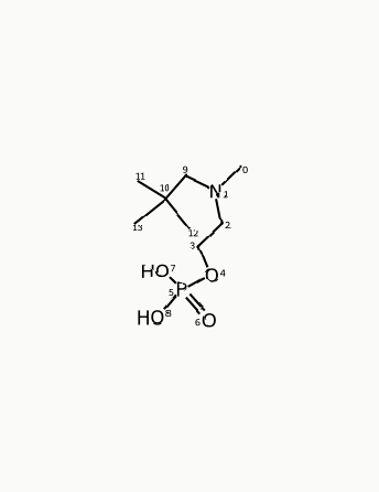 CN(CCOP(=O)(O)O)CC(C)(C)C